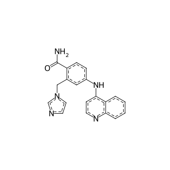 NC(=O)c1ccc(Nc2ccnc3ccccc23)cc1Cn1ccnc1